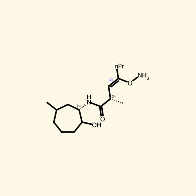 CCC/C(=C/[C@H](C)C(=O)N[C@H]1CC(C)CCCC1O)ON